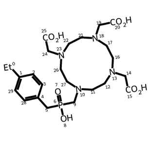 CCc1ccc(CP(=O)(O)CN2CCN(CC(=O)O)CCN(CC(=O)O)CCN(CC(=O)O)CC2)cc1